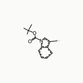 [CH2]c1cn(C(=O)OC(C)(C)C)c2ccccc12